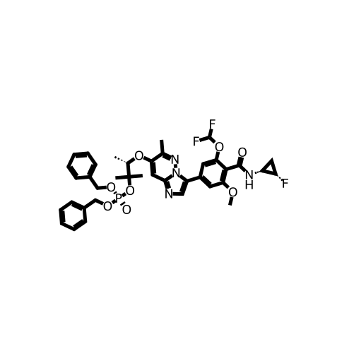 COc1cc(-c2cnc3cc(O[C@@H](C)C(C)(C)OP(=O)(OCc4ccccc4)OCc4ccccc4)c(C)nn23)cc(OC(F)F)c1C(=O)N[C@@H]1C[C@@H]1F